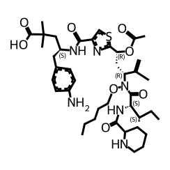 C=C(C)[C@@H](C[C@@H](OC(C)=O)c1nc(C(=O)N[C@@H](Cc2ccc(N)cc2)CC(C)(C)C(=O)O)cs1)N(OCCCCC)C(=O)[C@@H](NC(=O)C1CCCCN1)[C@@H](C)CC